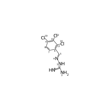 N=C(N)NN=Cc1ccc(Cl)c(Cl)c1Cl